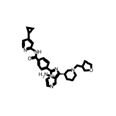 N[N+]12C=CN=CC1=C([C@@H]1CCCN(CC3CCOC3)C1)N=C2c1ccc(C(=O)Nc2cc(C3CC3)ccn2)cc1